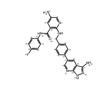 Nc1cnc(NCc2ccc(-c3cnc4[nH]nc(N)c4c3)cc2)c(C(=O)Nc2ccc(F)cc2)c1